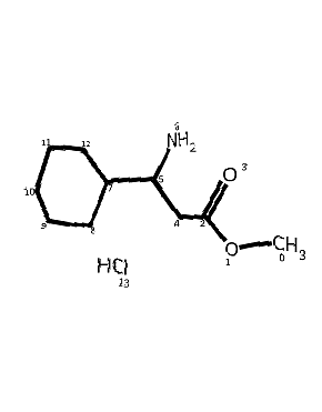 COC(=O)CC(N)C1CCCCC1.Cl